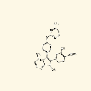 C#Cc1ncc(-c2c(-c3ccc(Oc4nccc(C)n4)cc3)c3c(N)ncnc3n2C)cc1C#N